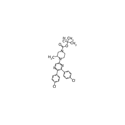 CC1CN(C(=O)OC(C)(C)C)CCN1c1cnc(-c2ccc(Cl)cc2)c(-c2ccc(Cl)cc2)n1